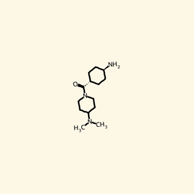 CN(C)C1CCN(C(=O)[C@H]2CC[C@H](N)CC2)CC1